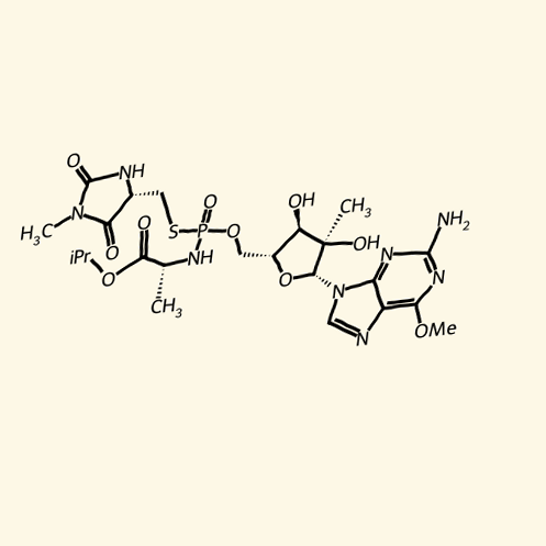 COc1nc(N)nc2c1ncn2[C@@H]1O[C@H](COP(=O)(N[C@H](C)C(=O)OC(C)C)SC[C@H]2NC(=O)N(C)C2=O)[C@@H](O)[C@@]1(C)O